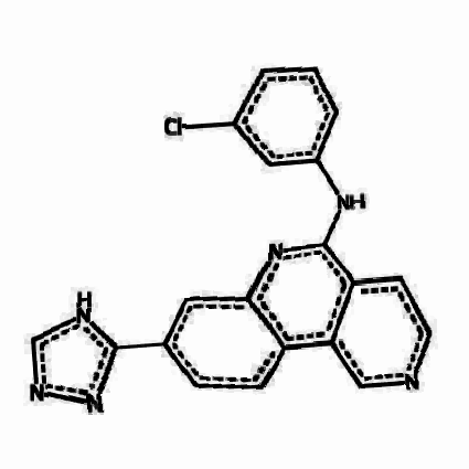 Clc1cccc(Nc2nc3cc(-c4nnc[nH]4)ccc3c3cnccc23)c1